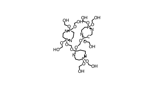 OCOP1(OCO)=NCCP(OCO)(OCOP2(OCOP3(OCO)=NCCP(OCO)(OCO)=NCC3)=NCCP(OCO)(OCO)=NCC2)=NCC1